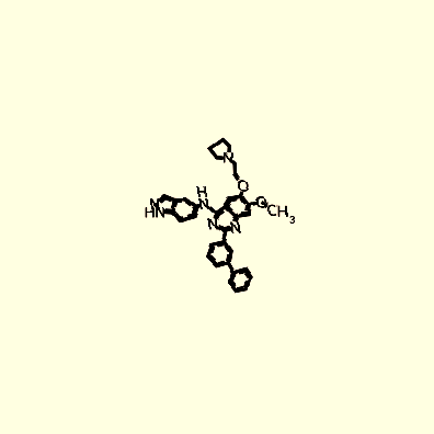 COc1cc2nc(-c3cccc(-c4ccccc4)c3)nc(Nc3ccc4[nH]ncc4c3)c2cc1OCCN1CCCC1